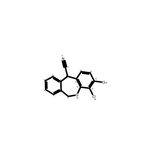 N#CC1c2ccccc2COc2c1ccc(Cl)c2Cl